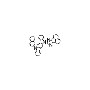 c1cc2c3c(cccc3c1)-c1nc(-n3c4ccccc4c4c5c6c7ccccc7ccc6n6c7ccccc7c(cc43)c56)cnc1-2